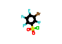 O=S(=O)(Cl)c1c(F)c(F)c(F)c(Br)c1F